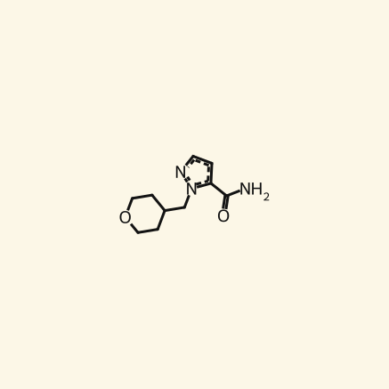 NC(=O)c1ccnn1CC1CCOCC1